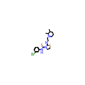 CC1CCCN(CCN=C2SCCN2C(=S)Nc2cccc(Br)c2)C1C